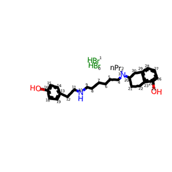 Br.Br.CCCN(CCCCCCNCCc1ccc(O)cc1)C1CCc2c(O)cccc2C1